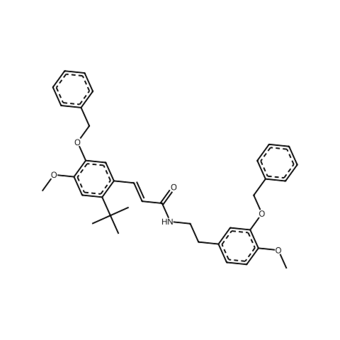 COc1ccc(CCNC(=O)C=Cc2cc(OCc3ccccc3)c(OC)cc2C(C)(C)C)cc1OCc1ccccc1